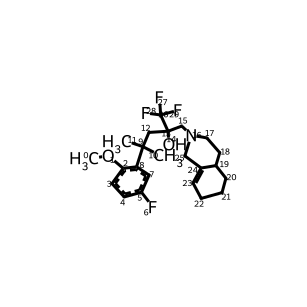 COc1ccc(F)cc1C(C)(C)CC(O)(CN1CCC2CCCC=C2C1)C(F)(F)F